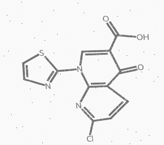 O=C(O)c1cn(-c2nccs2)c2nc(Cl)ccc2c1=O